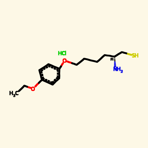 CCOc1ccc(OCCCC[C@@H](N)CS)cc1.Cl